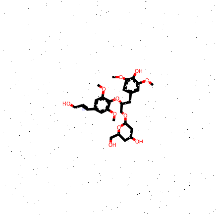 COc1cc(CC(COC2CC(O)CC(CO)O2)Oc2c(OC)cc(/C=C/CO)cc2OC)cc(OC)c1O